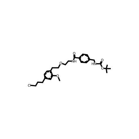 COc1cc(CCCCl)ccc1CCOCCNC(=O)c1ccc(CNC(=O)OC(C)(C)C)cc1